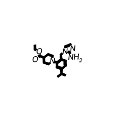 CCOC(=O)C1CCN(c2cc(C(C)C)ccc2Cn2ccnc2N)CC1